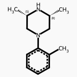 Cc1ccccc1N1C[C@@H](C)N[C@@H](C)C1